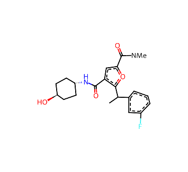 CNC(=O)c1cc(C(=O)N[C@H]2CC[C@H](O)CC2)c(C(C)c2cccc(F)c2)o1